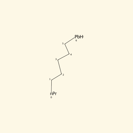 CCCCCCC[CH2][PbH]